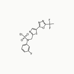 CCS(=O)(=O)N(Cc1ncc(-c2nnc(C(C)(F)F)o2)s1)c1cccc(F)c1